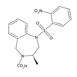 C[C@@H]1CN(S(=O)(=O)c2ccccc2[N+](=O)[O-])c2ccccc2CN1C(=O)O